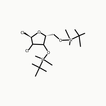 CC(C)(C)[Si](C)(C)OC[C@H]1O[C@H](Cl)C(Cl)C1O[Si](C)(C)C(C)(C)C